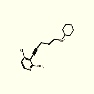 Nc1nccc(Cl)c1C#CCCCNC1CCCCC1